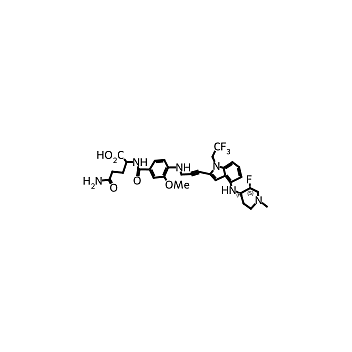 COc1cc(C(=O)NC(CCC(N)=O)C(=O)O)ccc1NCC#Cc1cc2c(N[C@@H]3CCN(C)C[C@@H]3F)cccc2n1CC(F)(F)F